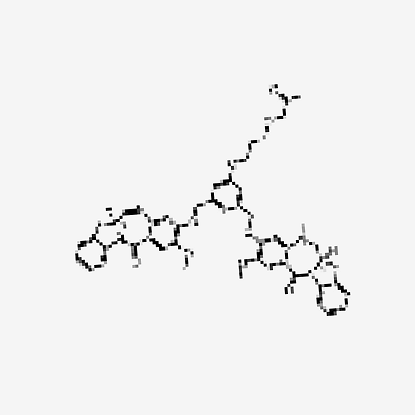 COc1cc2c(cc1OCc1cc(COc3cc4c(cc3OC)C(=O)N3c5ccccc5C[C@H]3CN4)cc(OCCCOCC(C)=O)c1)N=C[C@@H]1Cc3ccccc3N1C2=O